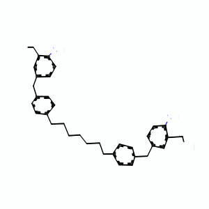 CCc1cc(Cc2ccc(CCCCCCCc3ccc(Cc4ccc(N)c(CC)c4)cc3)cc2)ccc1N